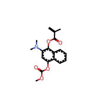 C=C(C)C(=O)Oc1c(N(C)C)cc(OC(=O)OC)c2ccccc12